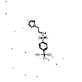 CC(C)(C)c1ccc(S(=O)(=O)NCCN2CCCC2)cc1